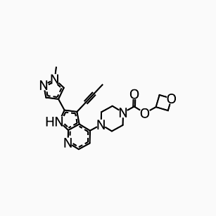 CC#Cc1c(-c2cnn(C)c2)[nH]c2nccc(N3CCN(C(=O)OC4COC4)CC3)c12